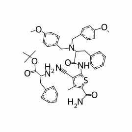 CC(C)(C)OC(=O)C(N)Cc1ccccc1.COc1ccc(CN(Cc2ccc(OC)cc2)C(Cc2ccccc2)C(=O)Nc2sc(C(N)=O)c(C)c2C#N)cc1